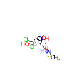 Cc1cnc(NC(=O)CCC[C@@H]2C/C(=N\O)[C@@]3(C)CCC4c5cc(Cl)c(O)c(Cl)c5CCC4C23)s1